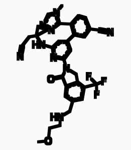 COCCNCc1cc2c(c(C(F)(F)F)c1)CN(c1cc(-c3cc(C#N)ccc3-c3nncn3C)cc(NC3(CC#N)CC3)n1)C2=O